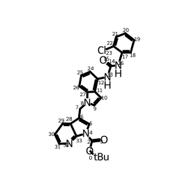 CC(C)(C)OC(=O)n1cc(Cn2ccc3c(NC(=O)Nc4ccccc4Cl)cccc32)c2cccnc21